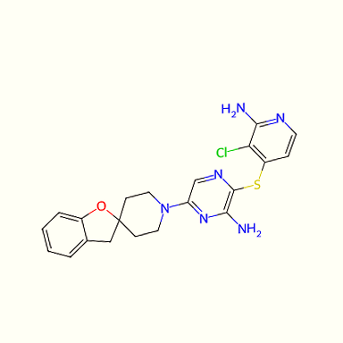 Nc1nc(N2CCC3(CC2)Cc2ccccc2O3)cnc1Sc1ccnc(N)c1Cl